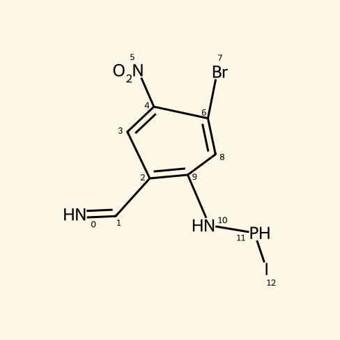 N=Cc1cc([N+](=O)[O-])c(Br)cc1NPI